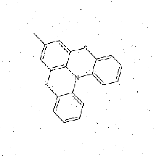 Cc1cc2c3c(c1)Sc1ccccc1N3c1ccccc1S2